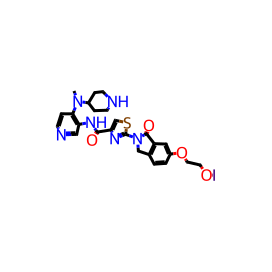 CN(c1ccncc1NC(=O)c1csc(N2Cc3ccc(OCCOI)cc3C2=O)n1)C1CCNCC1